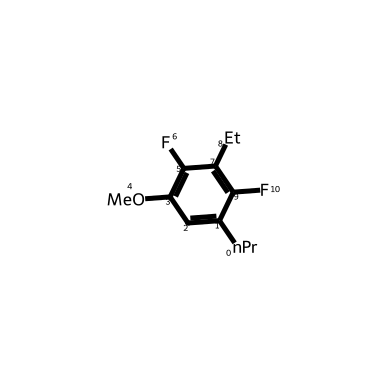 CCCc1cc(OC)c(F)c(CC)c1F